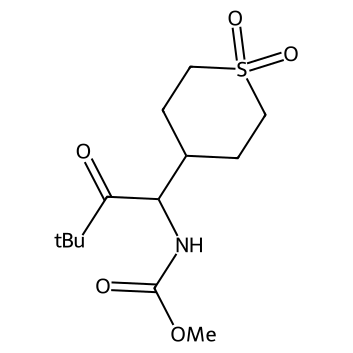 COC(=O)NC(C(=O)C(C)(C)C)C1CCS(=O)(=O)CC1